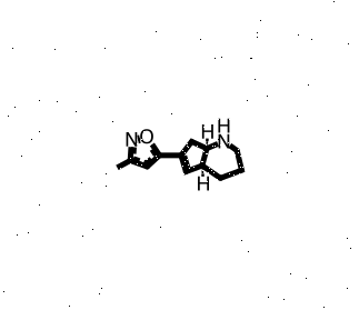 Cc1cc(C2=C[C@@H]3CCCN[C@@H]3C2)on1